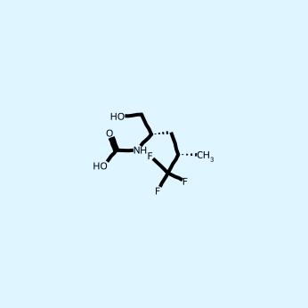 C[C@@H](C[C@@H](CO)NC(=O)O)C(F)(F)F